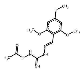 COc1cc(OC)c(C=NNC(=N)NOC(C)=O)c(OC)c1